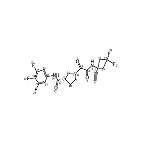 C#CC1(NC(=O)C(=O)N2CC[C@H](C(=O)Nc3cc(F)c(F)c(F)c3)C2)CC(F)(F)C1